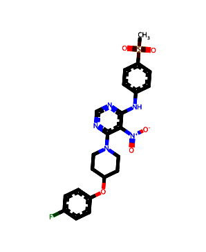 CS(=O)(=O)c1ccc(Nc2ncnc(N3CCC(Oc4ccc(F)cc4)CC3)c2[N+](=O)[O-])cc1